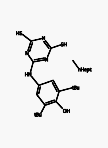 CC(C)(C)c1cc(Nc2nc(S)nc(S)n2)cc(C(C)(C)C)c1O.CCCCCCCC